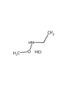 CCNOC.Cl